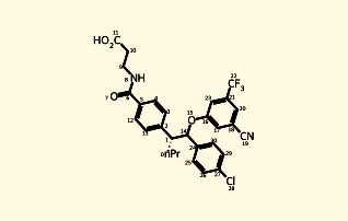 CCC[C@H](c1ccc(C(=O)NCCC(=O)O)cc1)C(Oc1cc(C#N)cc(C(F)(F)F)c1)c1ccc(Cl)cc1